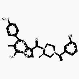 C=C(c1cccc(C#N)c1)N1CCN(C(=O)c2cnn3c(C(F)(F)F)c(C)c(-c4ccc(OC)cc4)nc23)[C@H](C)C1